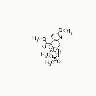 COC(=O)[C@@]12CC(C)C(OS(C)(=O)=O)[C@@H](Cc3nc(OC)ccc31)C2=O